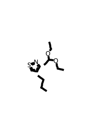 CCCC.CCOC(C)OCC.c1cnsc1